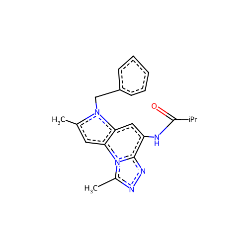 Cc1cc2c(cc(NC(=O)C(C)C)c3nnc(C)n32)n1Cc1ccccc1